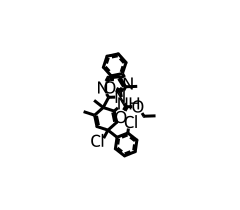 CCOC(=O)N1C(C)=CC=NC1C1(C)C(C)=CC(Cl)(c2ccccc2Cl)C=C1Nc1nc2ccccc2o1